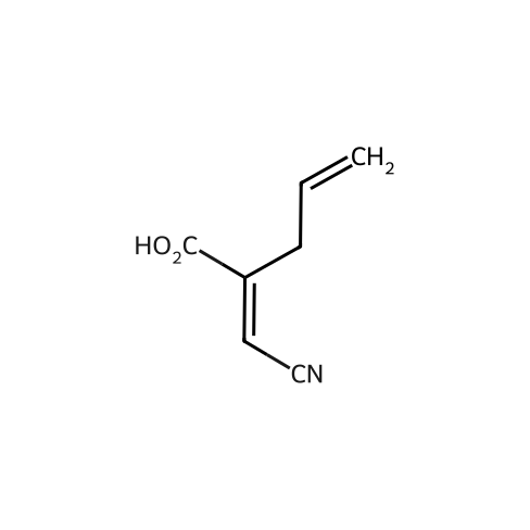 C=CC/C(=C\C#N)C(=O)O